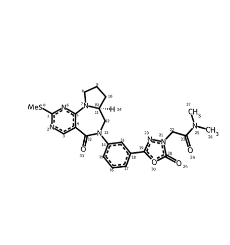 CSc1ncc2c(n1)N1CCC[C@H]1CN(c1cccc(-c3nn(CC(=O)N(C)C)c(=O)o3)c1)C2=O